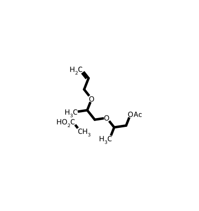 C=CCOC(C)COC(C)COC(C)=O.CC(=O)O